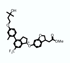 COC(=O)CC1COc2cc(O[C@@H]3CCc4c(-c5ccc(OCCC(C)(C)O)cc5C)cc(C(F)(F)F)cc43)ccc21